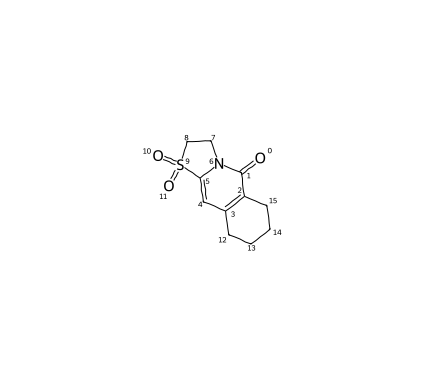 O=c1c2c(cc3n1CCS3(=O)=O)CCCC2